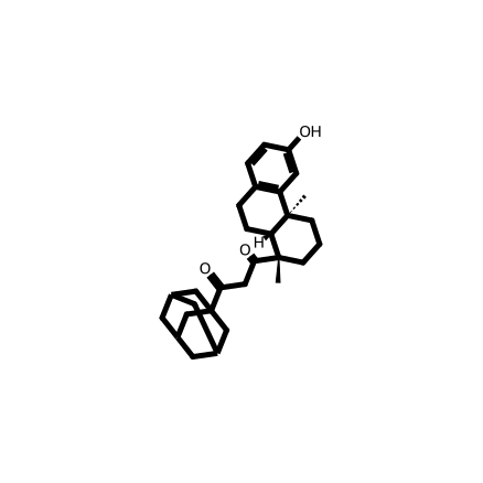 C[C@]1(C(=O)CC(=O)C23CC4CC(CC(C4)C2)C3)CCC[C@]2(C)c3cc(O)ccc3CC[C@@H]12